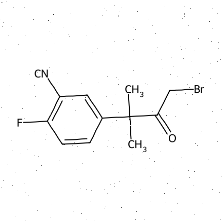 [C-]#[N+]c1cc(C(C)(C)C(=O)CBr)ccc1F